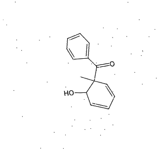 CC1(C(=O)c2ccccc2)C=CC=CC1O